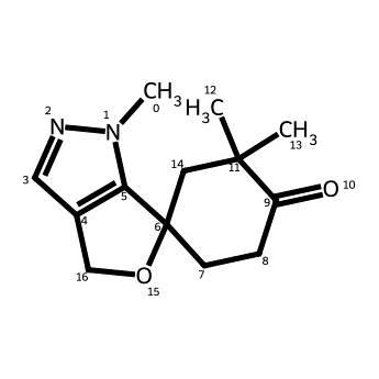 Cn1ncc2c1C1(CCC(=O)C(C)(C)C1)OC2